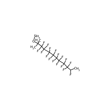 CC(F)C(F)(F)C(F)(F)C(F)(F)C(F)(F)C(F)(F)C(F)(F)C(F)(F)C(F)(F)C(C)(C)O[SiH3]